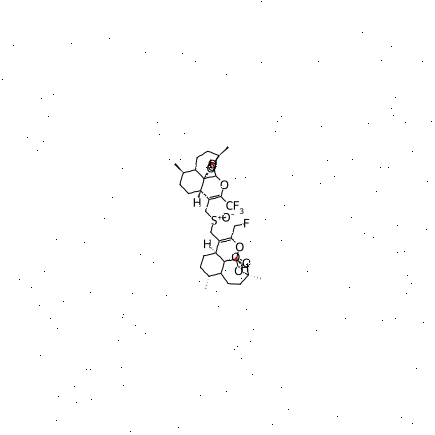 C[C@@H]1CC[C@H]2C(C[S+]([O-])CC3=C(C(F)(F)F)O[C@@H]4O[C@]5(C)CCC6[C@H](C)CC[C@@H]3[C@]64OO5)=C(CF)O[C@@H]3O[C@]4(C)CCC1[C@]32OO4